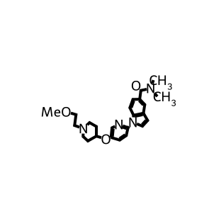 COCCN1CCC(Oc2ccc(-n3ccc4cc(C(=O)N(C)C)ccc43)nc2)CC1